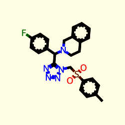 Cc1ccc(S(=O)(=O)Cn2nnnc2C(c2ccc(F)cc2)N2CCc3ccccc3C2)cc1